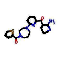 Nc1ncccc1C(=O)c1cccc(N2CCCN(C(=O)c3cccs3)CC2)n1